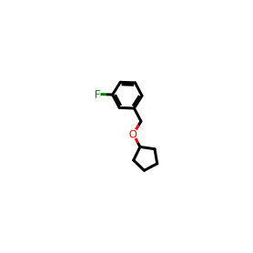 Fc1cccc(COC2CCCC2)c1